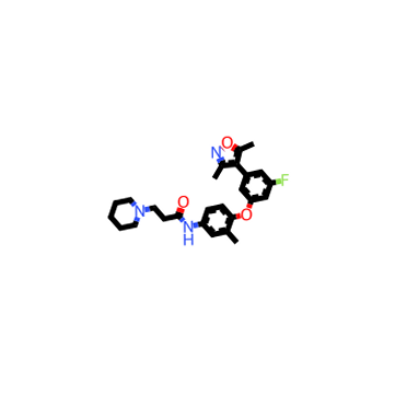 Cc1cc(NC(=O)CCN2CCCCC2)ccc1Oc1cc(F)cc(-c2c(C)noc2C)c1